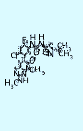 CNc1ncc2cc(-c3cc(NC(=O)Nc4cc(C(C)C)no4)c(F)cc3Cl)c(=O)n(C)c2n1